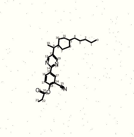 CCCCCC1CCC(C(C)c2cnc(-c3ccc(OC(=O)CC)c(C#N)c3)nc2)CC1